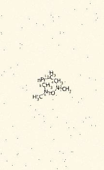 CCCC.CN(C)ON(C)C